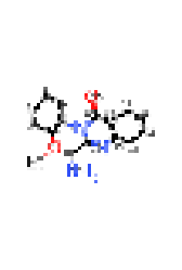 CCOc1ccccc1-n1c(CN)nc2ccccc2c1=O